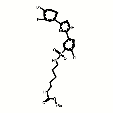 CC(C)(C)OC(=O)NCCCCCNS(=O)(=O)c1cc(-c2nc(-c3ccc(Br)c(F)c3)c[nH]2)ccc1Cl